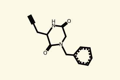 C#CCC1NC(=O)CN(Cc2ccccc2)C1=O